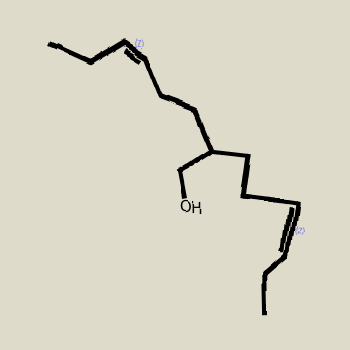 CC/C=C\CCC(CO)CC/C=C\CC